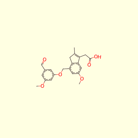 COc1cc(C=O)cc(OCc2cc(OC)cc3c2CC(C)=C3CC(=O)O)c1